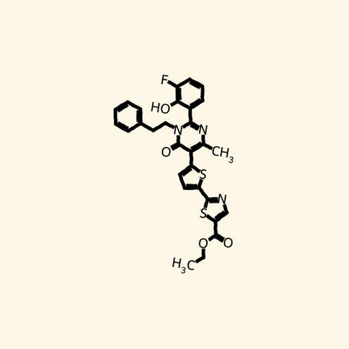 CCOC(=O)c1cnc(-c2ccc(-c3c(C)nc(-c4cccc(F)c4O)n(CCc4ccccc4)c3=O)s2)s1